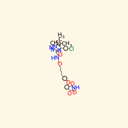 Cc1sc2c(c1C)C(c1ccc(Cl)cc1)=N[C@@H](CC(=O)NCCOCCCCCc1ccc(Oc3cccc4c3C(=O)NC(=O)C4=O)cc1)c1nnc(C)n1-2